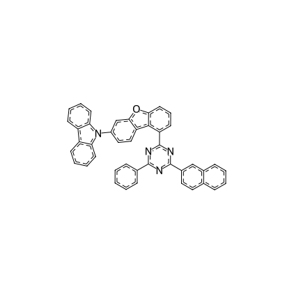 c1ccc(-c2nc(-c3ccc4ccccc4c3)nc(-c3cccc4oc5cc(-n6c7ccccc7c7ccccc76)ccc5c34)n2)cc1